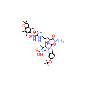 Cc1c(C)c(S(=O)(=O)NC(=N)NCCC[C@H](NC(=O)[C@H](Cc2ccc(OC(C)(C)C)cc2)NC(=O)[C@H](C)NC(=O)O)C(=O)NN)c(C)c2c1OC(C)(C)C2